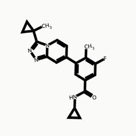 Cc1c(F)cc(C(=O)NC2CC2)cc1-c1ccn2c(C3(C)CC3)nnc2c1